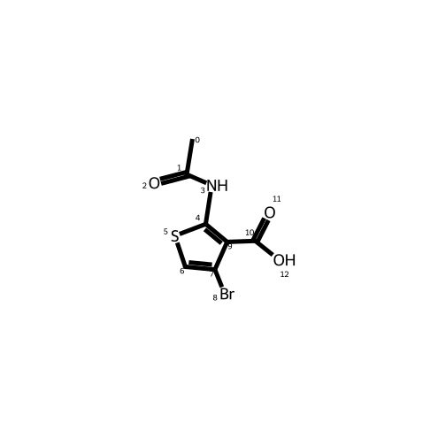 CC(=O)Nc1scc(Br)c1C(=O)O